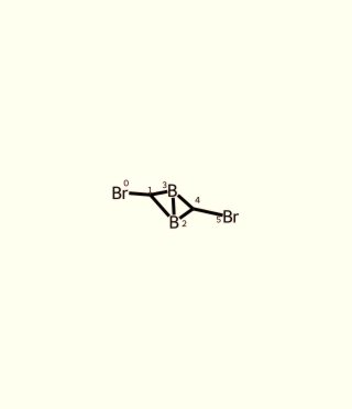 BrC1B2B1C2Br